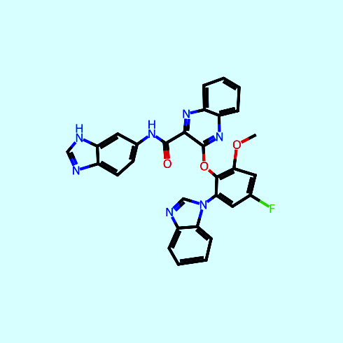 COc1cc(F)cc(-n2cnc3ccccc32)c1Oc1nc2ccccc2nc1C(=O)Nc1ccc2nc[nH]c2c1